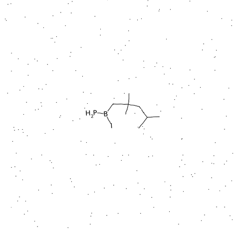 CC(C)CC(C)(C)CB(P)I